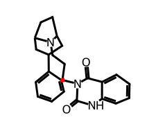 O=c1[nH]c2ccccc2c(=O)n1CCCN1C2CCC1CC(c1ccccc1)C2